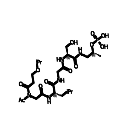 CC(=O)N(CC(=O)N[C@@H](CC(C)C)C(=O)NCC(=O)N[C@@H](CO)C(=O)NC[C@@H](C)OP(=O)(O)O)C(=O)CCOC(C)C